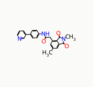 Cc1cc(CC(=O)Nc2ccc(-c3cccnc3)cc2)c2c(c1)C(=O)N(C)C2=O